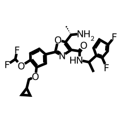 CC(NC(=O)c1nc(-c2ccc(OC(F)F)c(OCC3CC3)c2)oc1[C@H](C)N)c1ccc(F)cc1F